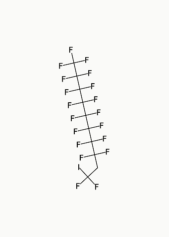 FC(F)(I)CC(F)(F)C(F)(F)C(F)(F)C(F)(F)C(F)(F)C(F)(F)C(F)(F)C(F)(F)F